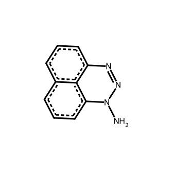 NN1N=Nc2cccc3cccc1c23